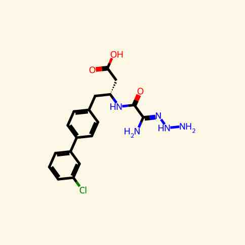 NN/N=C(\N)C(=O)N[C@@H](CC(=O)O)Cc1ccc(-c2cccc(Cl)c2)cc1